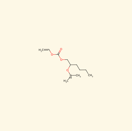 C=COC(=O)OCC(CCCC)O[SiH](C)C